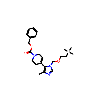 Cc1ncn(COCC[Si](C)(C)C)c1C1=CCN(C(=O)OCc2ccccc2)CC1